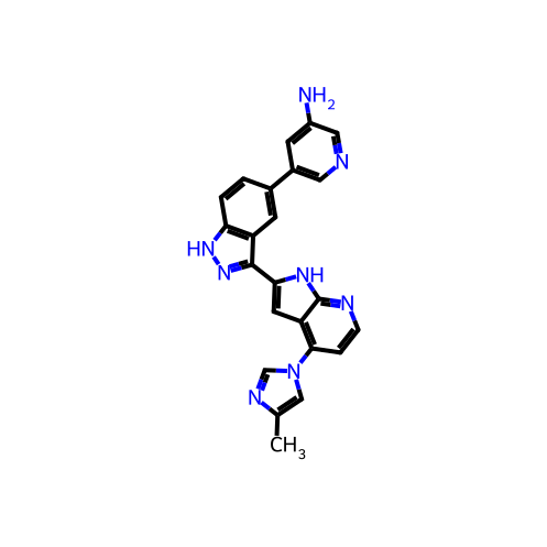 Cc1cn(-c2ccnc3[nH]c(-c4n[nH]c5ccc(-c6cncc(N)c6)cc45)cc23)cn1